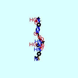 Cc1ncsc1-c1ccc([C@H](C)NC(=O)[C@@H]2C[C@@H](O)CN2C(=O)[C@@H](NC(=O)COCCC(=O)N2CCN(c3ccc([C@H](C)N(C(=O)O)C(C)(C)C)cc3)CC2)C(C)(C)C)cc1